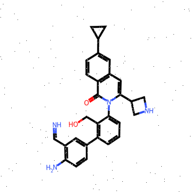 N=Cc1cc(-c2cccc(-n3c(C4CNC4)cc4cc(C5CC5)ccc4c3=O)c2CO)ccc1N